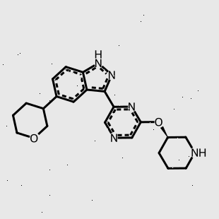 c1cc2[nH]nc(-c3cncc(O[C@@H]4CCCNC4)n3)c2cc1C1CCCOC1